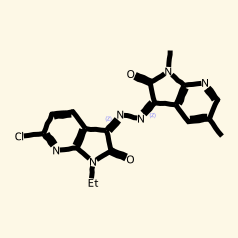 CCN1C(=O)/C(=N\N=C2/C(=O)N(C)c3ncc(C)cc32)c2ccc(Cl)nc21